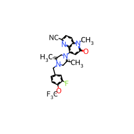 C[C@@H]1CN(c2cc(=O)n(C)c3ccc(C#N)nc23)[C@@H](C)CN1Cc1ccc(OC(F)(F)F)c(F)c1